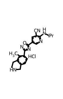 Cc1c(-c2noc(-c3cnc(NC(C)C)c(C#N)c3)n2)ccc2c1CCNC2.Cl